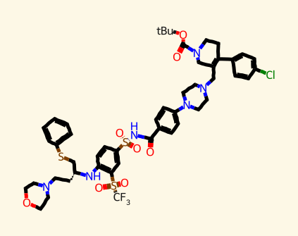 CC(C)(C)OC(=O)N1CCC(c2ccc(Cl)cc2)=C(CN2CCN(c3ccc(C(=O)NS(=O)(=O)c4ccc(N[C@H](CCN5CCOCC5)CSc5ccccc5)c(S(=O)(=O)C(F)(F)F)c4)cc3)CC2)C1